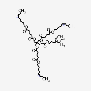 CC/C=C\CCCCOC(=O)CCCC(=O)OCC(COC(=O)CCCC(=O)OCCCC/C=C\CC)(COC(=O)CCCC(=O)OCCCC/C=C\CC)COC(=O)OCCCN(CC)CC